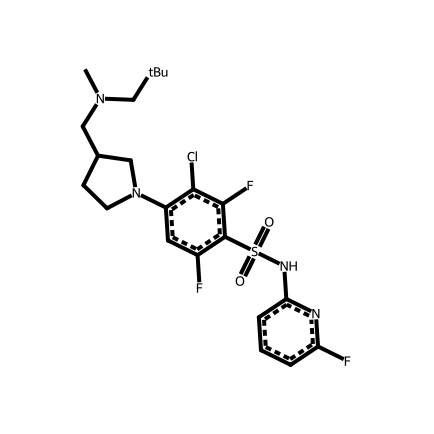 CN(CC1CCN(c2cc(F)c(S(=O)(=O)Nc3cccc(F)n3)c(F)c2Cl)C1)CC(C)(C)C